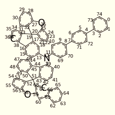 c1ccc(-c2ccc(-c3ccc(N(c4ccc5c(c4)C4(c6ccccc6Oc6ccccc64)c4ccccc4-5)c4cccc5c4-c4ccccc4C54c5ccccc5Oc5cc6ccccc6cc54)cc3)cc2)cc1